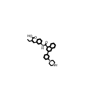 CCC(=Cc1cccc(NC(=O)c2cc(-c3cccc(N4CCNCC4)c3)cc3ccccc23)c1)C(=O)O